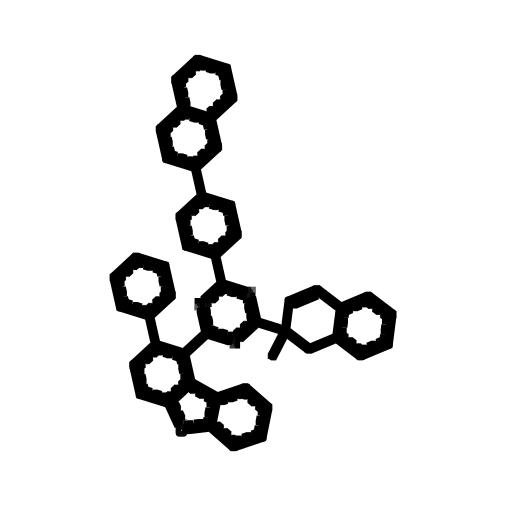 CC1(c2nc(-c3ccc(-c4ccc5ccccc5c4)cc3)nc(-c3c(-c4ccccc4)ccc4oc5ccccc5c34)n2)C=Cc2ccccc2C1